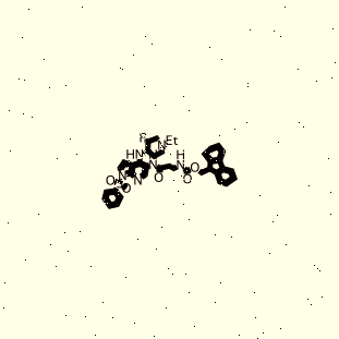 CCN1CC[C@@H](Nc2c(NC(=O)CCNC(=O)OCC3c4ccccc4-c4ccccc43)cnc3c2ccn3S(=O)(=O)c2ccccc2)[C@@H](F)C1